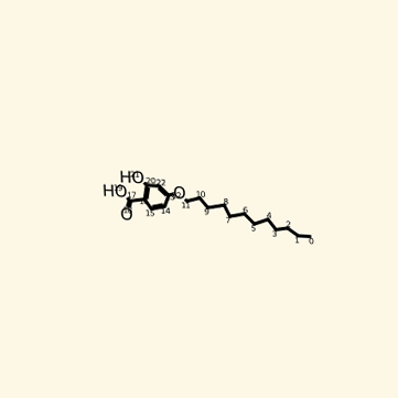 CCCCCCCCCCCCOc1ccc(C(=O)O)c(O)c1